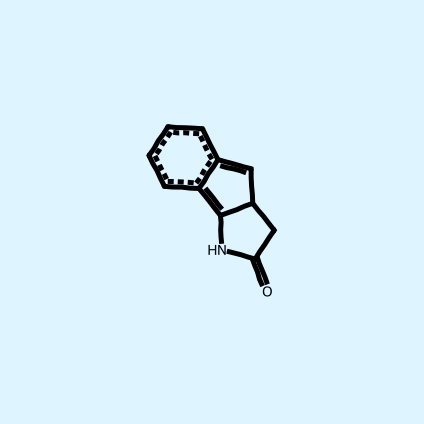 O=C1CC2C=c3ccccc3=C2N1